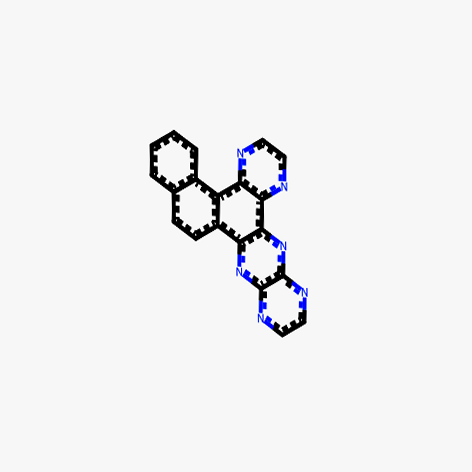 c1ccc2c(c1)ccc1c3nc4nccnc4nc3c3nccnc3c21